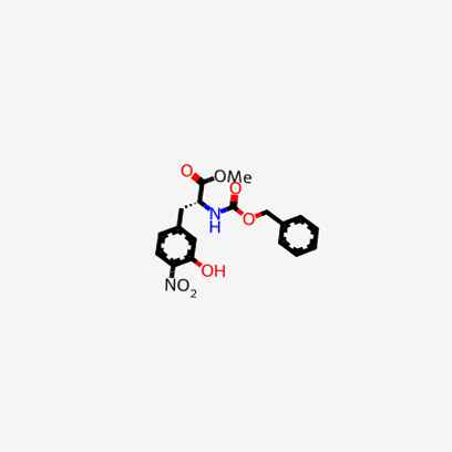 COC(=O)[C@@H](Cc1ccc([N+](=O)[O-])c(O)c1)NC(=O)OCc1ccccc1